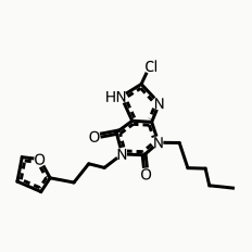 CCCCCn1c(=O)n(CCCc2ccco2)c(=O)c2[nH]c(Cl)nc21